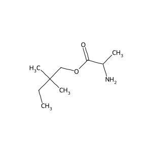 CCC(C)(C)COC(=O)C(C)N